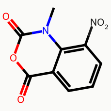 Cn1c(=O)oc(=O)c2cccc([N+](=O)[O-])c21